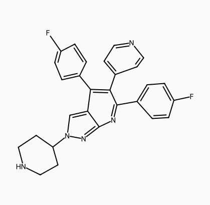 Fc1ccc(-c2nc3nn(C4CCNCC4)cc3c(-c3ccc(F)cc3)c2-c2ccncc2)cc1